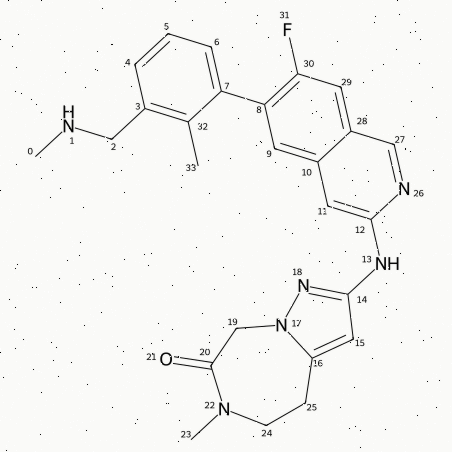 CNCc1cccc(-c2cc3cc(Nc4cc5n(n4)CC(=O)N(C)CC5)ncc3cc2F)c1C